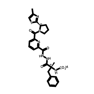 Cc1csc([C@H]2CCCN2C(=O)c2cccc(C(=O)NNC(=O)[C@@](C)(Cc3ccccc3)NC(=O)O)n2)n1